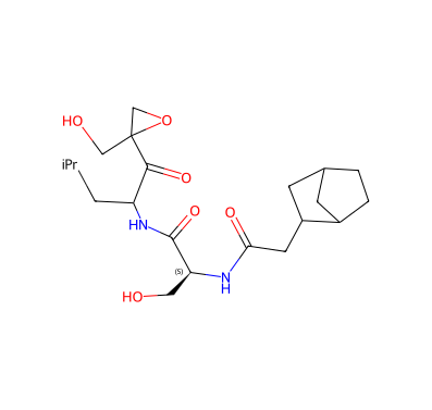 CC(C)CC(NC(=O)[C@H](CO)NC(=O)CC1CC2CCC1C2)C(=O)C1(CO)CO1